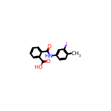 Cc1ccc(NC(=O)c2ccccc2C(=O)O)cc1I